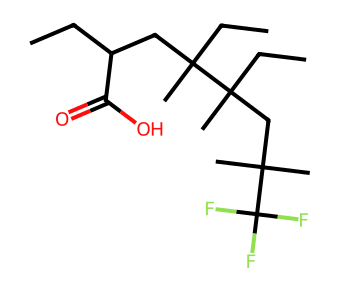 CCC(CC(C)(CC)C(C)(CC)CC(C)(C)C(F)(F)F)C(=O)O